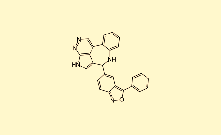 c1ccc(-c2onc3ccc(C4Nc5ccccc5-c5cnnc6[nH]cc4c56)cc23)cc1